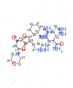 NC(=O)C1C(NC2NCC(c3coc4c(=O)cc(N5CCOCC5)oc34)S2)NC(N[C@H]2CCCC[C@H]2N)N2CNNC12